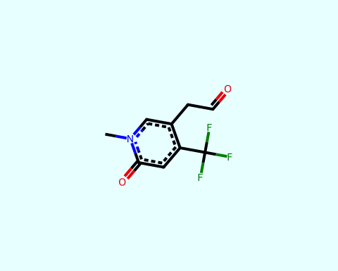 Cn1cc(CC=O)c(C(F)(F)F)cc1=O